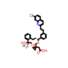 C[C@@](O)(CO)c1ccccc1CC[C@@H](SCC1(CC(=O)O)CC1)c1cccc(/C=C/c2ccc3ccc(Cl)cc3n2)c1